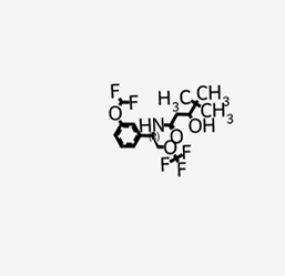 CC(C)(C)C(O)CC(=O)N[C@@H](COC(F)(F)F)c1cccc(OC(F)F)c1